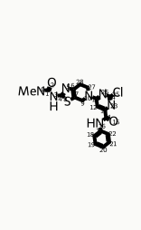 CNC(=O)Nc1nc2c(s1)CN(c1cc(C(=O)Nc3ccccc3)nc(Cl)n1)CC2